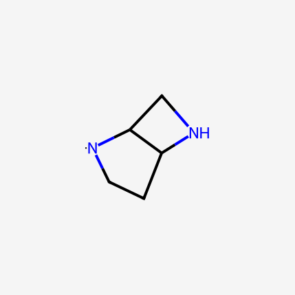 C1CC2NCC2[N]1